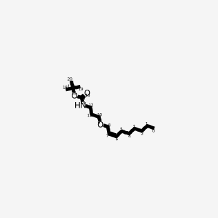 CCCCCC/C=C\COCCCNC(=O)OC(C)(C)C